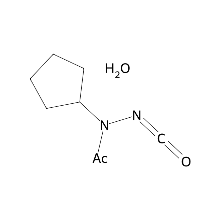 CC(=O)N(N=C=O)C1CCCC1.O